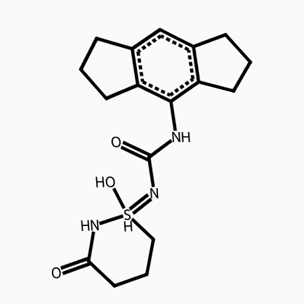 O=C1CCC[SH](O)(=NC(=O)Nc2c3c(cc4c2CCC4)CCC3)N1